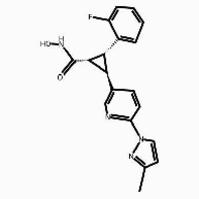 Cc1ccn(-c2ccc([C@H]3[C@H](C(=O)NO)[C@@H]3c3ccccc3F)cn2)n1